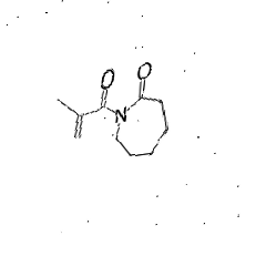 C=C(C)C(=O)N1CCCCCC1=O